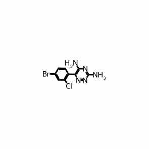 Nc1nnc(-c2ccc(Br)cc2Cl)c(N)n1